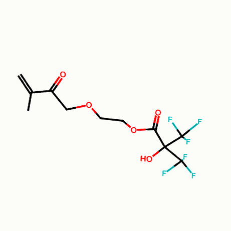 C=C(C)C(=O)COCCOC(=O)C(O)(C(F)(F)F)C(F)(F)F